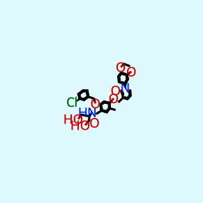 Cc1cc(CNC(CO)C(=O)O)c(OCc2cccc(Cl)c2)cc1OCc1cccn(-c2ccc3c(c2)OCCO3)c1=O